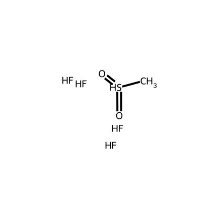 C[SH](=O)=O.F.F.F.F